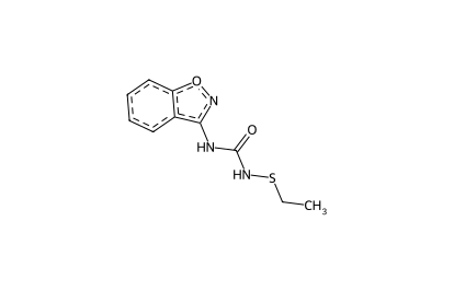 CCSNC(=O)Nc1noc2ccccc12